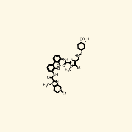 CCc1c(CNC[C@H]2CC[C@H](C(=O)O)CC2)nc(C(=O)Nc2cccc(-c3cccc(NC(=O)c4nc5c(n4C)CCN(CC)C5)c3Cl)c2C#N)n1C